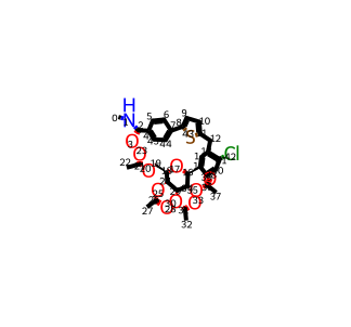 CNC(=O)c1ccc(-c2ccc(Cc3cc([C@@H]4O[C@H](COC(C)=O)[C@@H](OC(C)=O)[C@H](OC(C)=O)[C@H]4OC(C)=O)ccc3Cl)s2)cc1